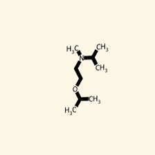 CC(C)OCCN(C)C(C)C